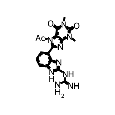 CC(=O)n1c(-c2cccc3[nH]c(NC(=N)N)nc23)nc2c1c(=O)n(C)c(=O)n2C